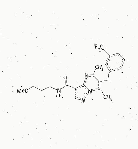 COCCCNC(=O)c1cnn2c(C)c(Cc3cccc(C(F)(F)F)c3)c(C)nc12